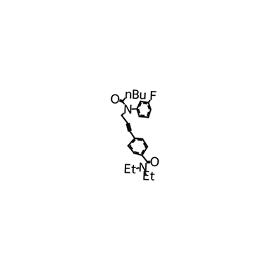 CCCCC(=O)N(CC#Cc1ccc(C(=O)N(CC)CC)cc1)c1cccc(F)c1